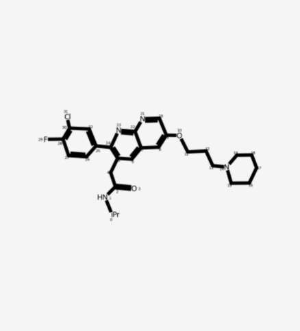 CC(C)NC(=O)Cc1cc2cc(OCCCN3CCCCC3)cnc2nc1-c1ccc(F)c(Cl)c1